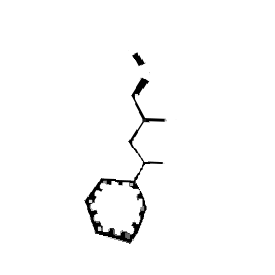 CC(CC([O])C=S=O)c1ccccc1